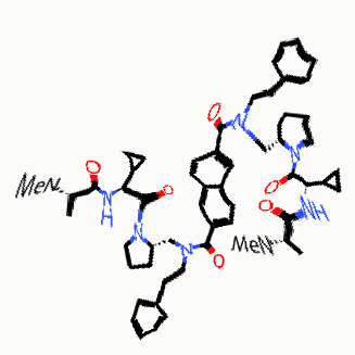 CN[C@@H](C)C(=O)N[C@H](C(=O)N1CCC[C@H]1CN(CCc1ccccc1)C(=O)c1ccc2cc(C(=O)N(CCc3ccccc3)C[C@@H]3CCCN3C(=O)[C@@H](NC(=O)[C@H](C)NC)C3CC3)ccc2c1)C1CC1